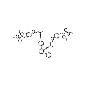 CCOC(=O)C(Cc1ccc(OCC=C(C)C#Cc2ccc(-c3cccc(-c4ccccc4)c3C#CC(C)=CCOc3ccc(CC(OCC)C(=O)OCC)cc3)cc2)cc1)OCC